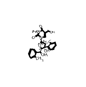 Cc1ccccc1C(O)[C@H]1O[C@@H](n2cc(CO)c(=O)[nH]c2=O)C[C@@]1(O)c1ccccc1C